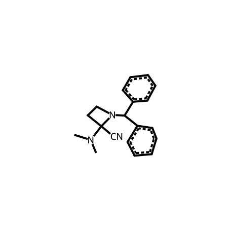 CN(C)C1(C#N)CCN1C(c1ccccc1)c1ccccc1